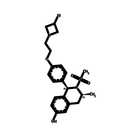 CCC1CN(CCOc2ccc([C@@H]3c4ccc(O)cc4C[C@@H](C)N3S(C)(=O)=O)cc2)C1